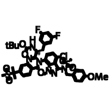 COc1ccc(CN(c2nn(C)c3c(-n4c([C@H](Cc5cc(F)cc(F)c5)NC(=O)OC(C)(C)C)nc5cc(C(C)(C)S(C)(=O)=O)ccc5c4=O)ccc(Cl)c23)S(C)(=O)=O)cc1